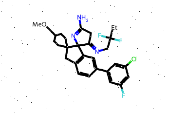 CCC(F)(F)CN=C1CC(N)=NC12c1cc(-c3cc(F)cc(Cl)c3)ccc1CC21CCC(OC)CC1